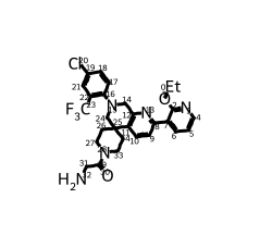 CCOc1ncccc1-c1ccc2c(n1)CN(c1ccc(Cl)cc1C(F)(F)F)CC21CCN(C(=O)CN)CC1